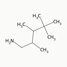 CC(CN)C(C)C(C)(C)C